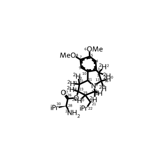 [2H]C1([2H])c2cc(OC)c(OC)cc2C2N(C1([2H])[2H])C([2H])([2H])C([2H])(CC(C)C)C([2H])(OC(=O)[C@@H](N)C(C)C)C2([2H])[2H]